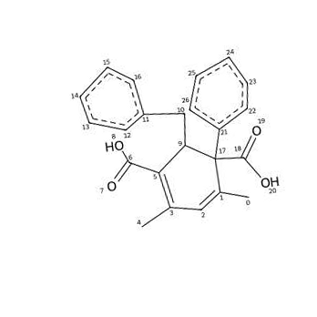 CC1=CC(C)=C(C(=O)O)C(Cc2ccccc2)C1(C(=O)O)c1ccccc1